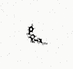 CSc1cnc(-c2nnc3n2CCN(C(=O)c2ccc(F)cc2)[C@@H]3C)o1